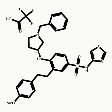 COc1ccc(CCc2cc(S(=O)(=O)Nc3cscn3)ccc2N[C@H]2CCN(Cc3ccccc3)C2)cc1.O=C(O)C(F)(F)F